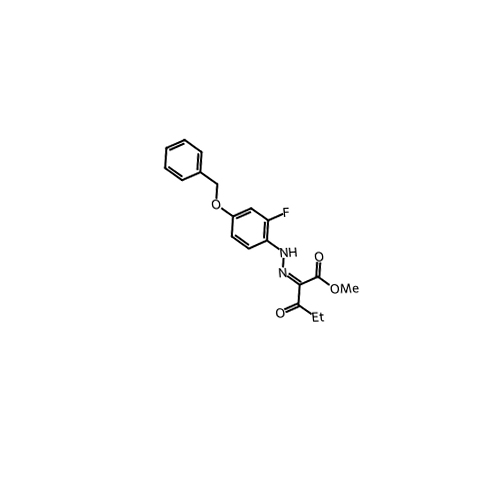 CCC(=O)C(=NNc1ccc(OCc2ccccc2)cc1F)C(=O)OC